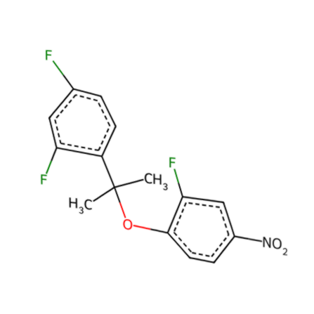 CC(C)(Oc1ccc([N+](=O)[O-])cc1F)c1ccc(F)cc1F